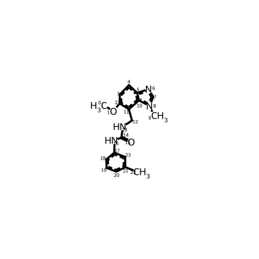 COc1ccc2ncn(C)c2c1CNC(=O)Nc1cccc(C)c1